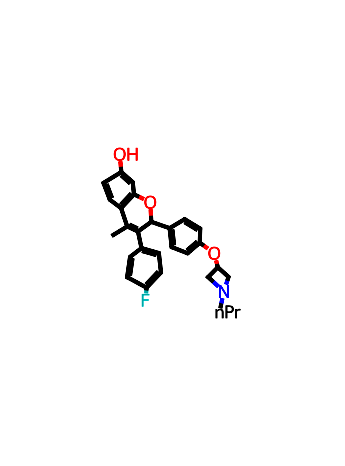 CCCN1CC(Oc2ccc(C3Oc4cc(O)ccc4C(C)=C3c3ccc(F)cc3)cc2)C1